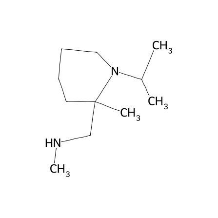 CNCC1(C)CCCCN1C(C)C